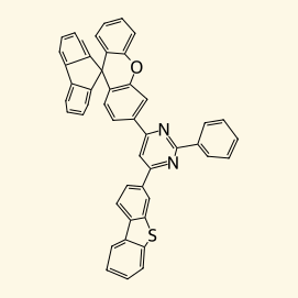 c1ccc(-c2nc(-c3ccc4c(c3)Oc3ccccc3C43c4ccccc4-c4ccccc43)cc(-c3ccc4c(c3)sc3ccccc34)n2)cc1